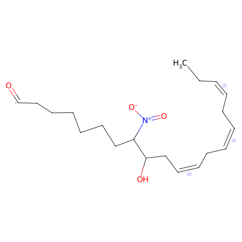 CC/C=C\C/C=C\C/C=C\CC(O)C(CCCCCC[C]=O)[N+](=O)[O-]